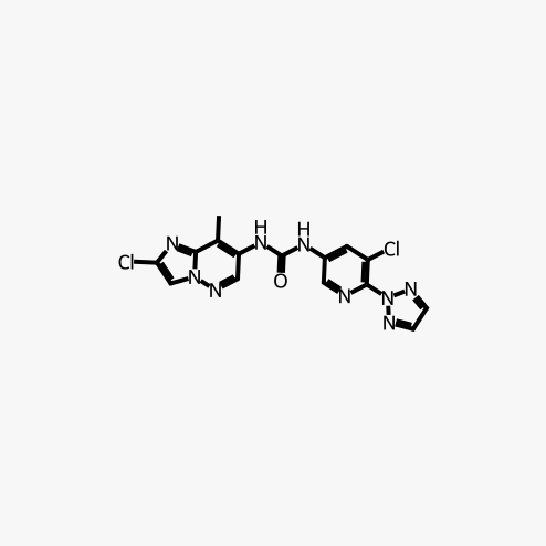 Cc1c(NC(=O)Nc2cnc(-n3nccn3)c(Cl)c2)cnn2cc(Cl)nc12